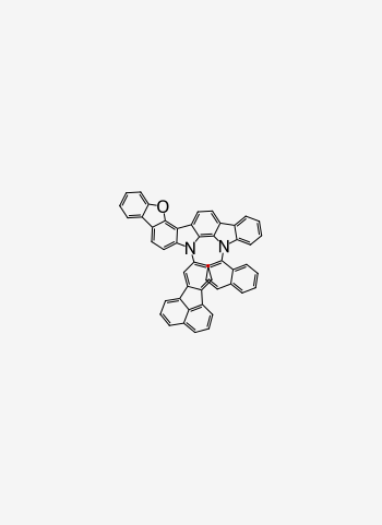 c1ccc2c(-n3c4ccccc4c4ccc5c6c7oc8ccccc8c7ccc6n(-c6ccc7c(c6)-c6cccc8cccc-7c68)c5c43)cccc2c1